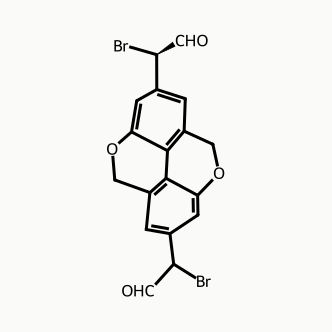 O=CC(Br)c1cc2c3c(c1)OCc1cc([C@@H](Br)C=O)cc(c1-3)OC2